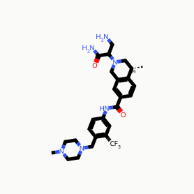 C[C@H]1CN(C(CN)C(N)=O)Cc2cc(C(=O)Nc3ccc(CN4CCN(C)CC4)c(C(F)(F)F)c3)ccc21